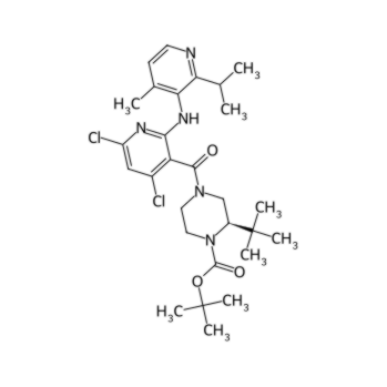 Cc1ccnc(C(C)C)c1Nc1nc(Cl)cc(Cl)c1C(=O)N1CCN(C(=O)OC(C)(C)C)[C@H](C(C)(C)C)C1